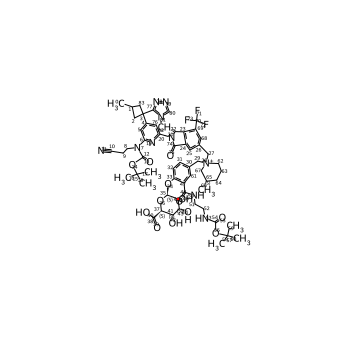 CC1CC(c2cc(N(CCC#N)C(=O)OC(C)(C)C)nc(N3Cc4c(cc(C[N+]5(Cc6ccc(O[C@@H]7O[C@H](C(=O)O)[C@@H](O)[C@H](O)[C@H]7O)c(C(=O)NCCNC(=O)OC(C)(C)C)c6)CCC[C@H](C)C5)cc4C(F)(F)F)C3=O)c2)(c2nncn2C)C1